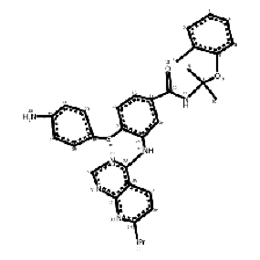 Cc1ccccc1OC(C)(C)NC(=O)c1ccc(Sc2ccc(N)cc2)c(Nc2ncnc3nc(C(C)C)ccc23)c1